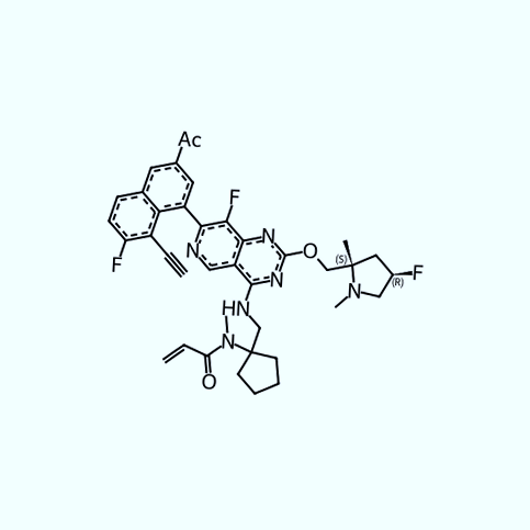 C#Cc1c(F)ccc2cc(C(C)=O)cc(-c3ncc4c(NCC5(N(C)C(=O)C=C)CCCC5)nc(OC[C@]5(C)C[C@@H](F)CN5C)nc4c3F)c12